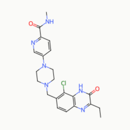 CCc1nc2ccc(CN3CCN(c4ccc(C(=O)NC)nc4)CC3)c(Cl)c2[nH]c1=O